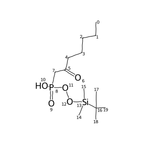 CCCCCC(=O)CP(=O)(O)OO[Si](C)(C)C(C)(C)C